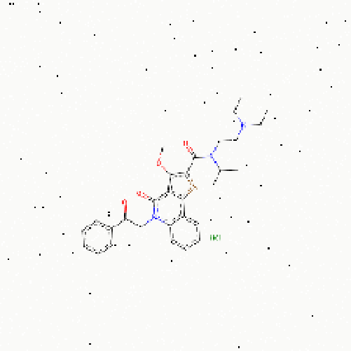 CCN(CC)CCN(C(=O)c1sc2c(c1OC)c(=O)n(CC(=O)c1ccccc1)c1ccccc21)C(C)C.Cl